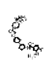 COc1cc([C@@H](C)N[C@H]2CC[C@@H](c3ccc(OCC(=O)N4CCN(S(N)(=O)=O)CC4)cc3)C2)ccc1F